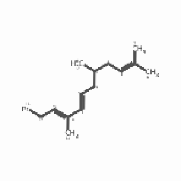 CC(C)=CCC(C)CC=CC(C)=CCBr